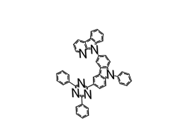 c1ccc(-c2nc(-c3ccccc3)nc(-c3ccc4c(c3)c3cc(-n5c6ccccc6c6cccnc65)ccc3n4-c3ccccc3)n2)cc1